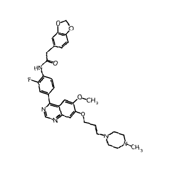 COc1cc2c(-c3ccc(NC(=O)Cc4ccc5c(c4)OCO5)c(F)c3)ncnc2cc1OCCCN1CCN(C)CC1